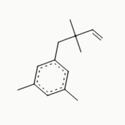 Cc1cc(C)cc(CC(C)(C)C=O)c1